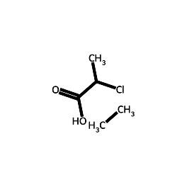 CC.CC(Cl)C(=O)O